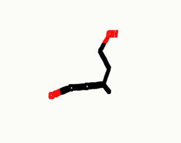 CC(=C=C=O)CCO